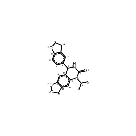 CC(C)N1C(=O)NC(c2ccc3c(c2)CCO3)c2cc3c(cc21)COO3